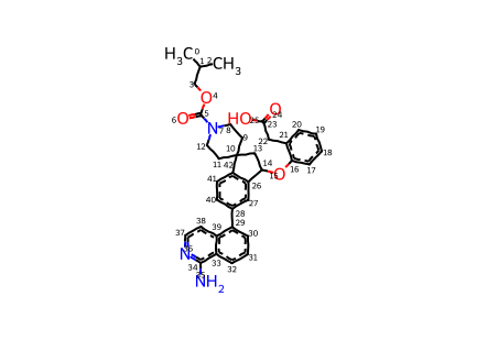 CC(C)COC(=O)N1CCC2(CC1)CC(Oc1ccccc1CC(=O)O)c1cc(-c3cccc4c(N)nccc34)ccc12